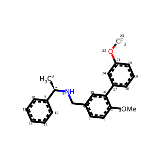 COc1ccc(CN[C@H](C)c2ccccc2)cc1-c1cccc(OC(F)(F)F)c1